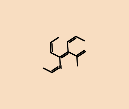 C=C(C)C(/C=C\C)=C(/C=C\C)\N=C/C